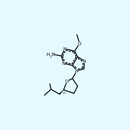 COc1nc(N)nc2c1ncn2C1CC[C@@H](CC(C)C)O1